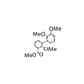 COC(=O)c1cccc(-c2cccc(OC)c2OC)c1OC